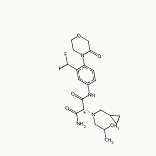 CC(C)CN(CC1CC1)[C@H](C(N)=O)C(=O)Nc1ccc(N2CCOCC2=O)c(C(F)F)c1